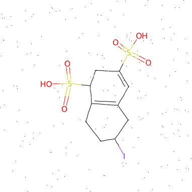 O=S(=O)(O)C1=CC2=C(CCC(I)C2)C(S(=O)(=O)O)C1